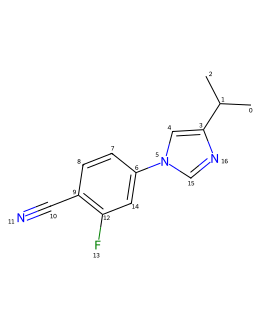 CC(C)c1cn(-c2ccc(C#N)c(F)c2)cn1